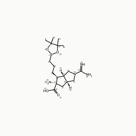 CC1(C)OB(CCC[C@H]2[C@@H]3CN(C(=N)N)C[C@@H]3C[C@@]2(N)C(=O)O)OC1(C)C